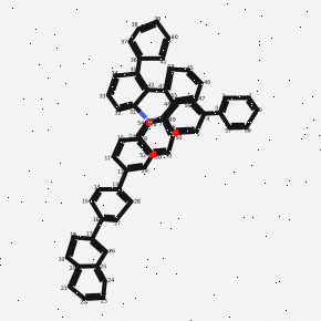 c1ccc(-c2ccc(N(c3ccc(-c4ccc(-c5ccc6ccccc6c5)cc4)cc3)c3cccc(-c4ccccc4)c3-c3ccccc3-c3ccccc3)cc2)cc1